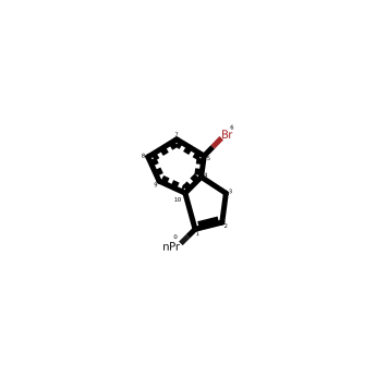 CCCC1=CCc2c(Br)cccc21